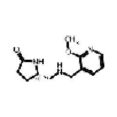 COc1ncccc1CNC[C@@H]1CCC(=O)N1